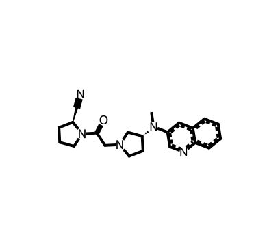 CN(c1cnc2ccccc2c1)[C@@H]1CCN(CC(=O)N2CCC[C@H]2C#N)C1